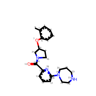 Cc1ccccc1OC1CCN(C(=O)c2cccc(N3CCCNCC3)n2)C1